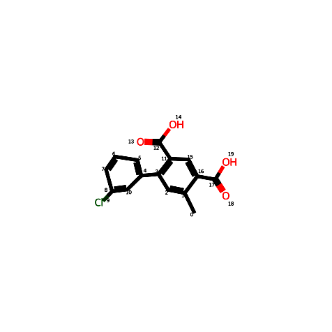 Cc1cc(-c2cccc(Cl)c2)c(C(=O)O)cc1C(=O)O